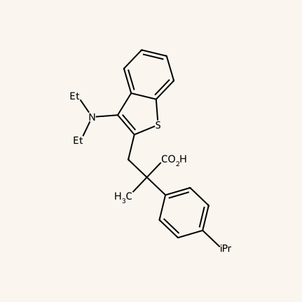 CCN(CC)c1c(CC(C)(C(=O)O)c2ccc(C(C)C)cc2)sc2ccccc12